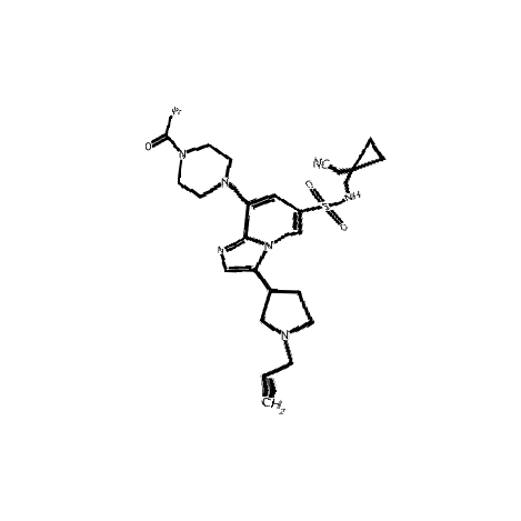 C=CCN1CCC(c2cnc3c(N4CCN(C(=O)C(C)C)CC4)cc(S(=O)(=O)NC4(C#N)CC4)cn23)C1